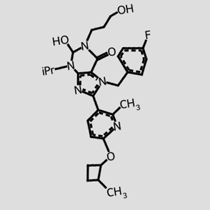 Cc1nc(OC2CCC2C)ccc1-c1nc2c(n1Cc1ccc(F)cc1)C(=O)N(CCCO)C(O)N2C(C)C